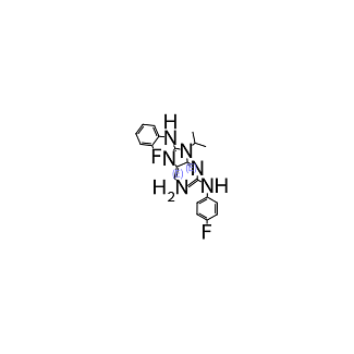 C=C(/N=C1\C(=C/N)N=C(Nc2ccccc2F)N1C(C)C)Nc1ccc(F)cc1